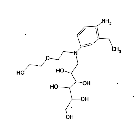 CCc1cc(N(CCOCCO)CC(O)C(O)C(O)C(O)CO)ccc1N